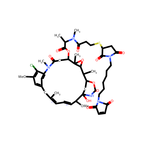 COc1cc2cc(c1Cl)N(C)C(=O)CC(OC(=O)C(C)N(C)C(=O)CCSC1CC(=O)N(CCCCCCN3C(=O)C=CC3=O)C1=O)C1(C)OC1C(C)C1CC(O)(NC(=O)O1)C(OC)/C=C/C=C(\C)C2